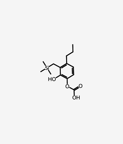 CCCc1ccc(OC(=O)O)c(O)c1C[Si](C)(C)C